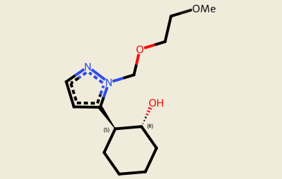 COCCOCn1nccc1[C@@H]1CCCC[C@H]1O